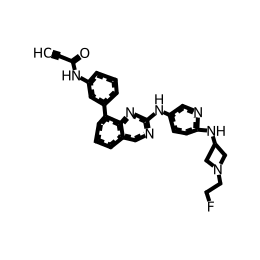 C#CC(=O)Nc1cccc(-c2cccc3cnc(Nc4ccc(NC5CN(CCF)C5)nc4)nc23)c1